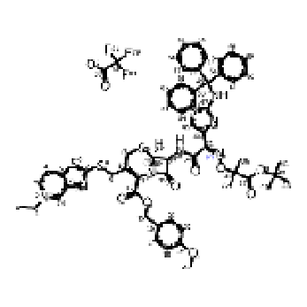 CC[n+]1ccc2sc(SCC3=C(C(=O)OCc4ccc(OC)cc4)N4C(=O)C(NC(=O)/C(=N\OC(C)(C)C(=O)OC(C)(C)C)c5csc(NC(c6ccccc6)(c6ccccc6)c6ccccc6)n5)[C@@H]4SC3)nc2c1.O=C([O-])C(F)(F)F